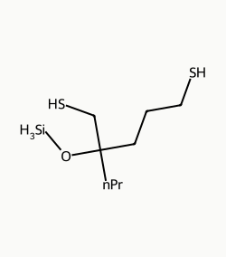 CCCC(CS)(CCCS)O[SiH3]